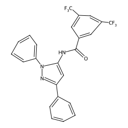 O=C(Nc1cc(-c2ccccc2)nn1-c1ccccc1)c1cc(C(F)(F)F)cc(C(F)(F)F)c1